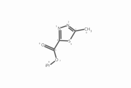 Cc1nnc(C(=O)OC(C)C)s1